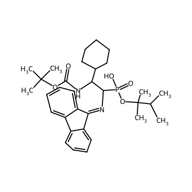 CC(C)C(C)(C)OP(=O)(O)C(N=C1c2ccccc2-c2ccccc21)C(NC(=O)OC(C)(C)C)C1CCCCC1